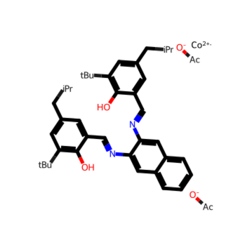 CC(=O)[O-].CC(=O)[O-].CC(C)Cc1cc(C=Nc2cc3ccccc3cc2N=Cc2cc(CC(C)C)cc(C(C)(C)C)c2O)c(O)c(C(C)(C)C)c1.[Co+2]